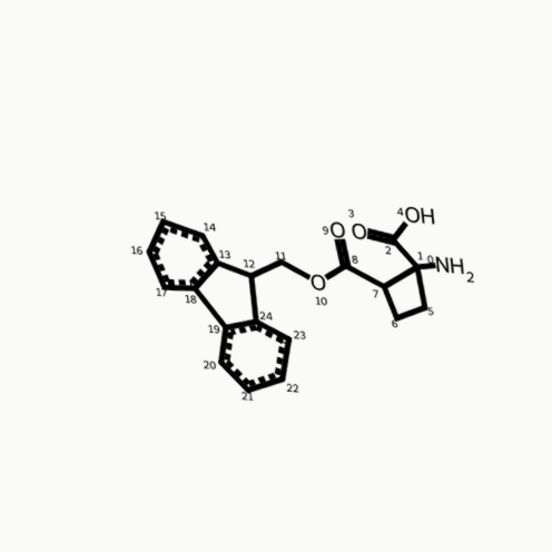 NC1(C(=O)O)CCC1C(=O)OCC1c2ccccc2-c2ccccc21